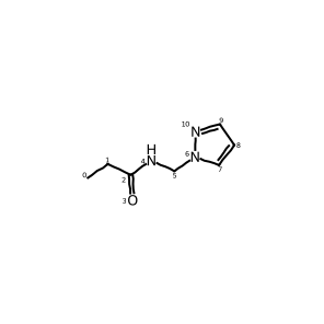 CCC(=O)NCn1cccn1